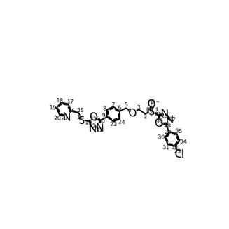 [O-][S@@+](CCOCc1ccc(-c2nnc(SCc3ccccn3)o2)cc1)c1nnc(-c2ccc(Cl)cc2)o1